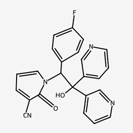 N#Cc1cccn(C(c2ccc(F)cc2)C(O)(c2cccnc2)c2cccnc2)c1=O